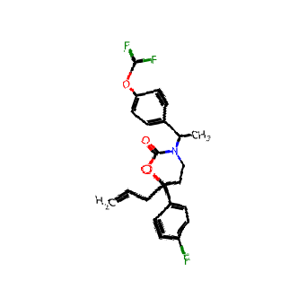 C=CCC1(c2ccc(F)cc2)CCN(C(C)c2ccc(OC(F)F)cc2)C(=O)O1